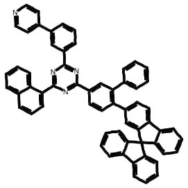 c1ccc(-c2cc(-c3nc(-c4cccc(-c5ccncc5)c4)nc(-c4cccc5ccccc45)n3)ccc2-c2ccc3c(c2)C2(c4ccccc4-c4ccccc42)c2ccccc2-3)cc1